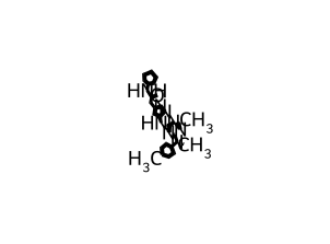 Cc1ccc(N(C)c2nc(C)nc(Nc3cc(CC(=O)Nc4ccccc4)[nH]n3)n2)cc1